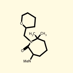 CNC1CCCC(C)(C)N(CC2CCCCO2)C1=O